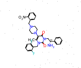 Cc1c(N2CCN(Cc3ccccc3[N+](=O)[O-])CC2)c(=O)n(C[C@@H](N)c2ccccc2)c(=O)n1Cc1c(F)cccc1F